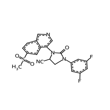 CS(=O)(=O)c1ccc2cncc(N3C(=O)N(c4cc(F)cc(F)c4)CC3C#N)c2c1